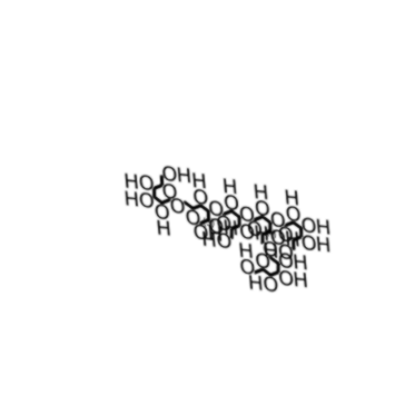 OCC1OC(OCC2OC(O)[C@@H](O)C(OC3OC(CO)C(O)C(OC4OC(COC5OC(CO)C(O)C(O)C5O)[C@@H](O)C(OC5OC(CO)C(O)C(O)C5O)C4O)C3O)C2O)C(O)C(O)C1O